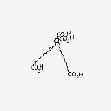 O=C(O)CCCCCCCCCCCCSCCCc1ccc(C(=O)O)c(C(=O)O)c1CCCSCCCCCCCCCCCCC(=O)O